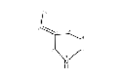 [CH2]C=C1CCCNC1